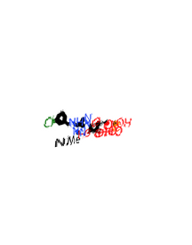 CNc1nc(NCc2cccc(Cl)c2)c2cnn([C@@H]3O[C@H](COCP(=O)(O)O)[C@@H](O)[C@H]3O)c2n1